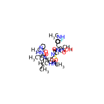 CCCCCCN(C(=O)[C@@H](NC(=O)[C@H]1CCCCN1C)[C@@H](C)CC)[C@H](C[C@@H](OC(=O)NC)c1nc(C(=O)N[C@@H](Cc2ccc(NC)c(F)c2)CC(C)(C)C(=O)O)cs1)C(C)C